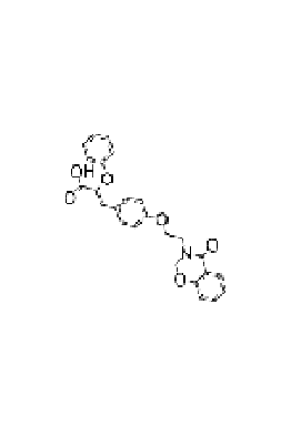 O=C(O)C(=Cc1ccc(OCCN2COc3ccccc3C2=O)cc1)Oc1ccccc1